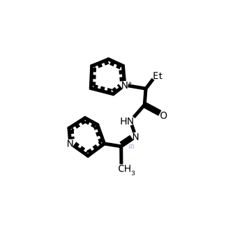 CCC(C(=O)N/N=C(/C)c1cccnc1)[n+]1ccccc1